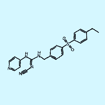 CCc1ccc(S(=O)(=O)c2ccc(CNC(=NC#N)Nc3ccncc3)cc2)cc1